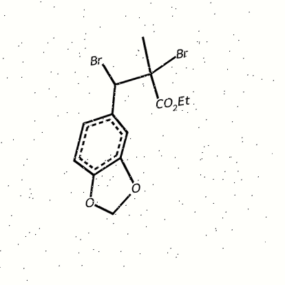 CCOC(=O)C(C)(Br)C(Br)c1ccc2c(c1)OCO2